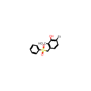 CCc1ccc(CS(=O)(=O)c2ccccc2)c(C(=O)O)c1O